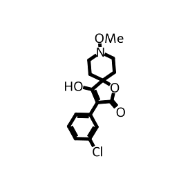 CON1CCC2(CC1)OC(=O)C(c1cccc(Cl)c1)=C2O